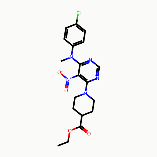 CCOC(=O)C1CCN(c2ncnc(N(C)c3ccc(Cl)cc3)c2[N+](=O)[O-])CC1